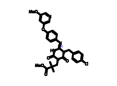 COC(=O)C(C)(C)Cn1c(=O)[nH]/c(=N\c2ccc(Oc3cncc(OC)c3)cc2)n(Cc2ccc(Cl)cc2)c1=O